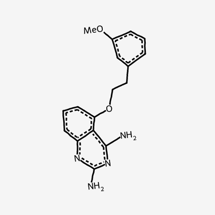 COc1cccc(CCOc2cccc3nc(N)nc(N)c23)c1